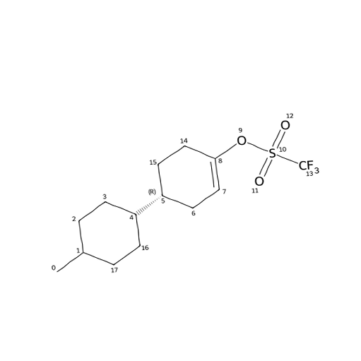 CC1CCC([C@H]2CC=C(OS(=O)(=O)C(F)(F)F)CC2)CC1